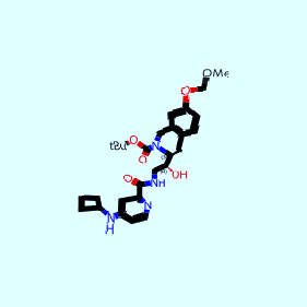 COCOc1ccc2c(c1)CN(C(=O)OC(C)(C)C)[C@H]([C@H](O)CNC(=O)c1cc(NC3CCC3)ccn1)C2